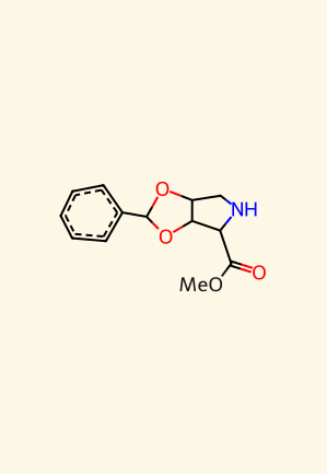 COC(=O)C1NCC2OC(c3ccccc3)OC21